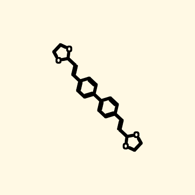 C(=CC1OCCO1)c1ccc(-c2ccc(C=CC3OCCO3)cc2)cc1